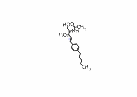 CCCCCc1ccc(/C=C/[C@H](O)[C@@H](CO)NC(C)=O)cc1